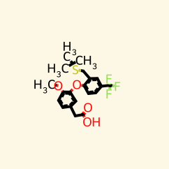 COc1ccc(CC(=O)O)cc1Oc1ccc(C(F)(F)F)cc1CSC(C)(C)C